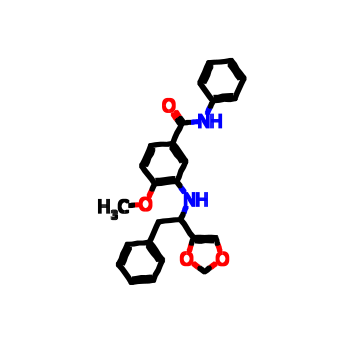 COc1ccc(C(=O)Nc2ccccc2)cc1NC(Cc1ccccc1)C1=COCO1